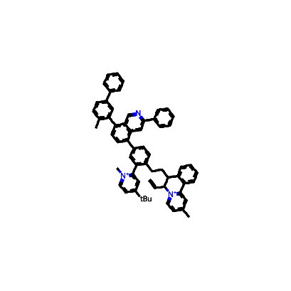 C=CC1C(CCc2ccc(-c3ccc(-c4cc(-c5ccccc5)ccc4C)c4cnc(-c5ccccc5)cc34)cc2-c2cc(C(C)(C)C)cc[n+]2C)c2ccccc2-c2cc(C)cc[n+]21